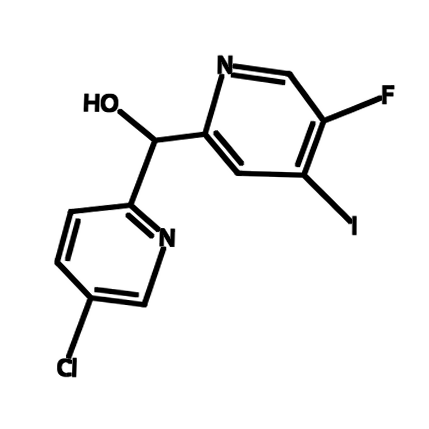 OC(c1ccc(Cl)cn1)c1cc(I)c(F)cn1